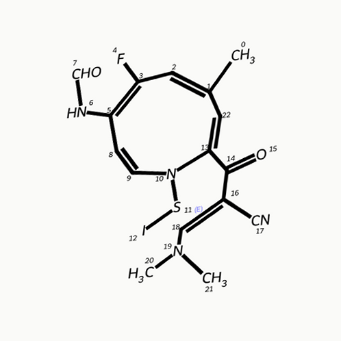 Cc1cc(F)c(NC=O)ccn(SI)c(C(=O)/C(C#N)=C/N(C)C)c1